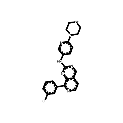 Clc1cccc(-c2nccc3cnc(Nc4ccc(N5CCNCC5)nc4)nc23)c1